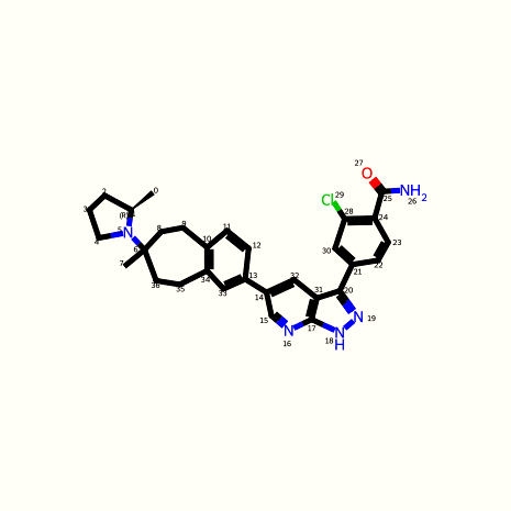 C[C@@H]1CCCN1C1(C)CCc2ccc(-c3cnc4[nH]nc(-c5ccc(C(N)=O)c(Cl)c5)c4c3)cc2CC1